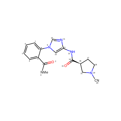 CNC(=O)c1ccccc1-n1cnc(NC(=O)[C@H]2CCN(C#N)C2)c1